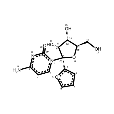 Nc1ccn([C@]2(c3ccco3)O[C@H](CO)[C@@H](O)[C@H]2O)c(=O)n1